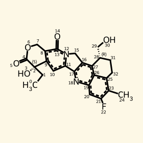 CC[C@@]1(O)C(=O)OCc2c1cc1n(c2=O)Cc2c-1nc1cc(F)c(C)c3c1c2[C@H](CO)CC3